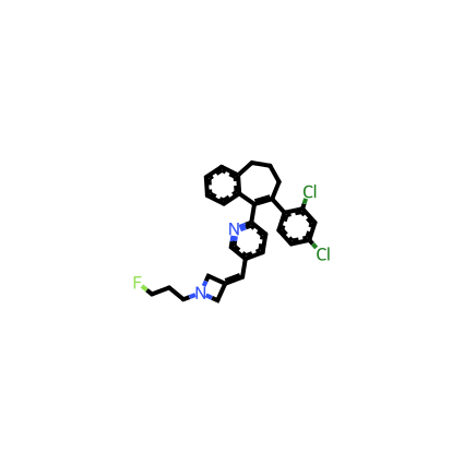 FCCCN1CC(=Cc2ccc(C3=C(c4ccc(Cl)cc4Cl)CCCc4ccccc43)nc2)C1